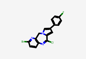 Fc1ccc(-c2cc3n(c2)Cc2nc(Br)ccc2N=C3Cl)cc1